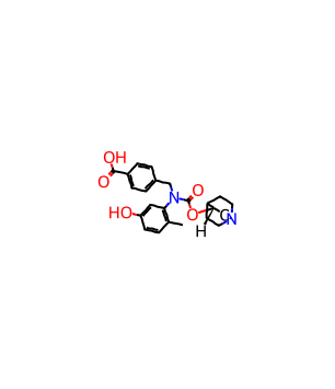 Cc1ccc(O)cc1N(Cc1ccc(C(=O)O)cc1)C(=O)O[C@H]1CN2CCC1CC2